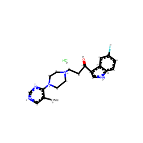 COc1cncnc1N1CCN(CCC(=O)c2c[nH]c3ccc(F)cc23)CC1.Cl